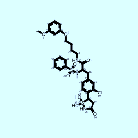 COc1cccc(OCCCCNC(=O)C(Cc2ccc(C3CC(=O)NS3(O)O)c(Cl)c2)NS(=O)(=O)c2ccccc2)c1